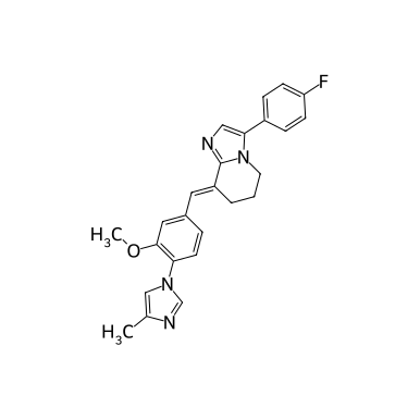 COc1cc(/C=C2\CCCn3c(-c4ccc(F)cc4)cnc32)ccc1-n1cnc(C)c1